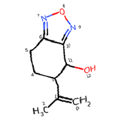 C=C(C)C1CCc2nonc2C1O